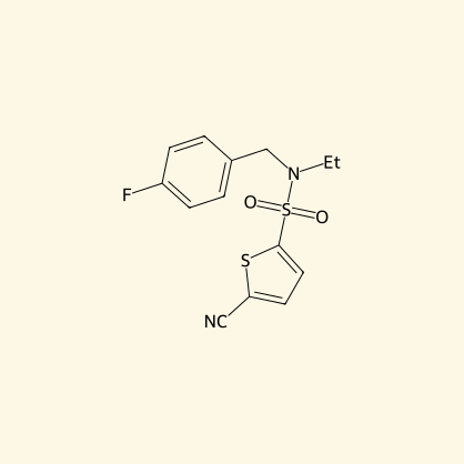 CCN(Cc1ccc(F)cc1)S(=O)(=O)c1ccc(C#N)s1